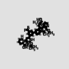 CCn1c(-c2cccnc2C(C)OC)c(CC(C)(C)CO)c2cc(-c3cc(C(F)F)cc(C(CC(=O)N4NCCC[C@H]4C(=O)O)NC(=O)OC(C)(C)C)c3)ccc21